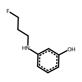 Oc1cccc(NCCCF)c1